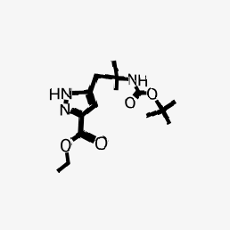 CCOC(=O)c1cc(CC(C)(C)NC(=O)OC(C)(C)C)[nH]n1